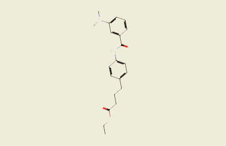 CCOC(=O)CCCc1ccc(NC(=O)c2cccc(N(C)C)c2)cc1